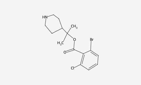 CC(C)(OC(=O)c1c(Cl)cccc1Br)C1CCNCC1